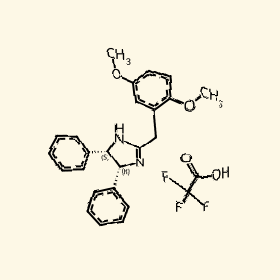 COc1ccc(OC)c(CC2=N[C@H](c3ccccc3)[C@H](c3ccccc3)N2)c1.O=C(O)C(F)(F)F